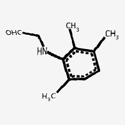 Cc1ccc(C)c(NCC=O)c1C